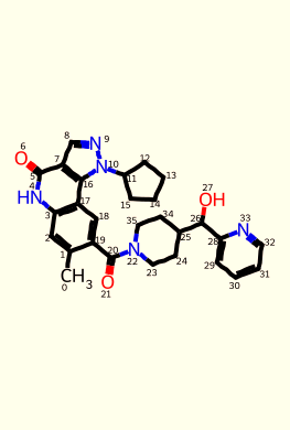 Cc1cc2[nH]c(=O)c3cnn(C4CCCC4)c3c2cc1C(=O)N1CCC(C(O)c2ccccn2)CC1